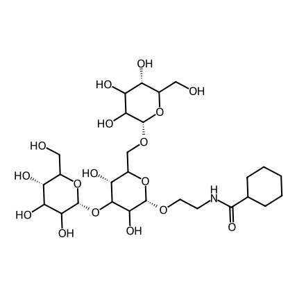 O=C(NCCO[C@H]1OC(CO[C@H]2OC(CO)[C@@H](O)C(O)C2O)[C@@H](O)C(O[C@H]2OC(CO)[C@@H](O)C(O)C2O)C1O)C1CCCCC1